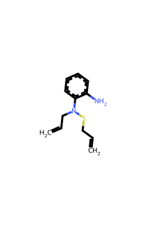 C=CCSN(CC=C)c1ccccc1N